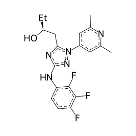 CC[C@H](O)Cc1nc(Nc2ccc(F)c(F)c2F)nn1-c1cc(C)nc(C)c1